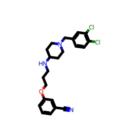 N#Cc1cccc(OCCCNC2CCN(Cc3ccc(Cl)c(Cl)c3)CC2)c1